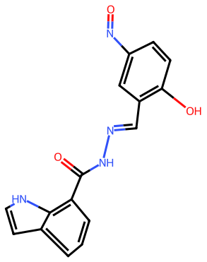 O=Nc1ccc(O)c(/C=N/NC(=O)c2cccc3cc[nH]c23)c1